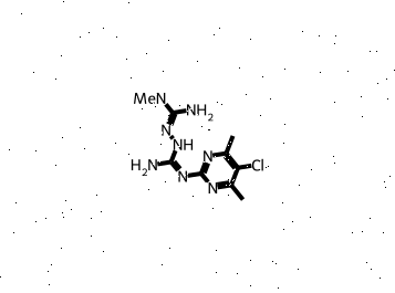 CNC(N)=NNC(N)=Nc1nc(C)c(Cl)c(C)n1